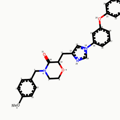 COc1ccc(CN2CCOC(Cc3cn(-c4cccc(Oc5ccccc5)c4)cn3)C2=O)cc1